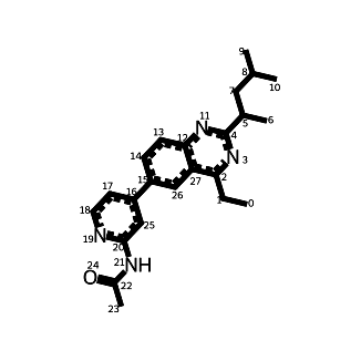 CCc1nc(C(C)CC(C)C)nc2ccc(-c3ccnc(NC(C)=O)c3)cc12